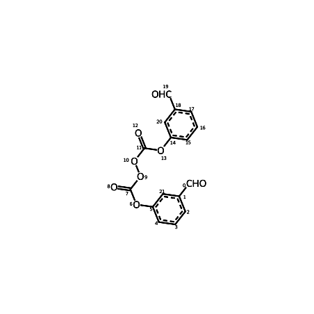 O=Cc1cccc(OC(=O)OOC(=O)Oc2cccc(C=O)c2)c1